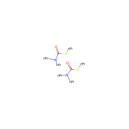 CCCSC(=O)N(CCC)CCC.CCCSC(=O)N(CCC)CCC